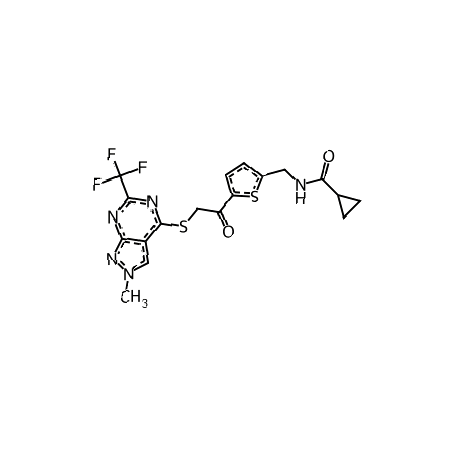 Cn1cc2c(SCC(=O)c3ccc(CNC(=O)C4CC4)s3)nc(C(F)(F)F)nc2n1